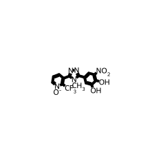 Cn1c(-c2cc(O)c(O)c([N+](=O)[O-])c2)nnc1-c1ccc[n+]([O-])c1C(F)(F)F